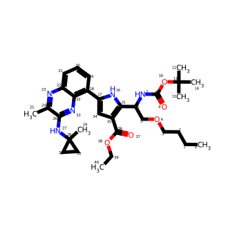 CCCCOCC(NC(=O)OC(C)(C)C)c1[nH]c(-c2cccc3nc(C)c(NC4(C)CC4)nc23)cc1C(=O)OCC